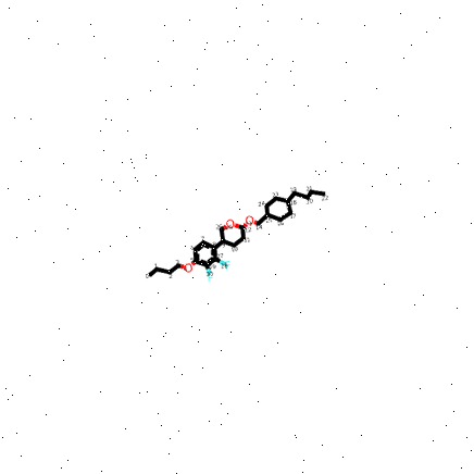 CCCCOc1ccc(C2CCC(OCC3CCC(CCCC)CC3)OC2)c(F)c1F